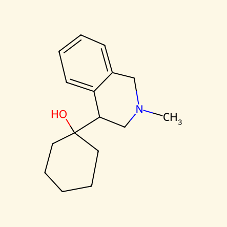 CN1Cc2ccccc2C(C2(O)CCCCC2)C1